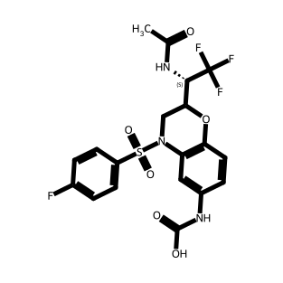 CC(=O)N[C@@H](C1CN(S(=O)(=O)c2ccc(F)cc2)c2cc(NC(=O)O)ccc2O1)C(F)(F)F